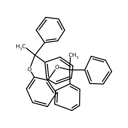 CC(Oc1ccccc1OC(C)(c1ccccc1)c1ccccc1)(c1ccccc1)c1ccccc1